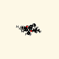 Cn1nc(NS(C)(=O)=O)c2c(Cl)ccc(-n3c([C@H](Cc4cc(F)cc(F)c4)NC(=O)Cn4nc(C(F)F)c([C@H]5C[C@H]5CF)c4CF)nc4cc(N5CCCC5)ccc4c3=O)c21